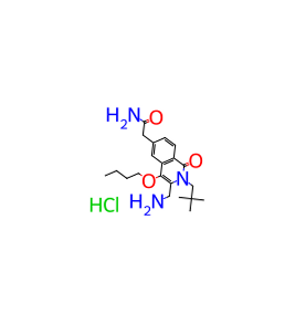 CCCCOc1c(CN)n(CC(C)(C)C)c(=O)c2ccc(CC(N)=O)cc12.Cl